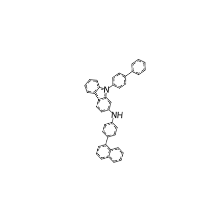 c1ccc(-c2ccc(-n3c4ccccc4c4ccc(Nc5ccc(-c6cccc7ccccc67)cc5)cc43)cc2)cc1